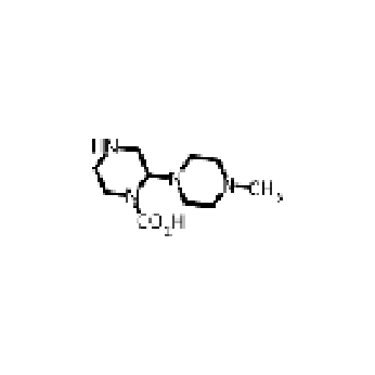 CN1CCN(C2CNCCN2C(=O)O)CC1